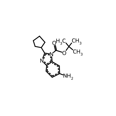 CC(C)(C)OC(=O)n1c(C2CCCC2)nc2ccc(N)cc21